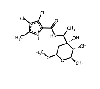 CO[C@H]1C[C@@](O)(C(C)NC(=O)c2[nH]c(C)c(Cl)c2Cl)[C@H](O)[C@@H](C)O1